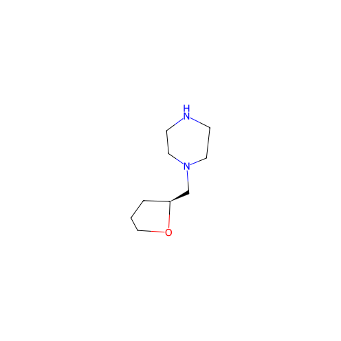 C1CO[C@H](CN2CCNCC2)C1